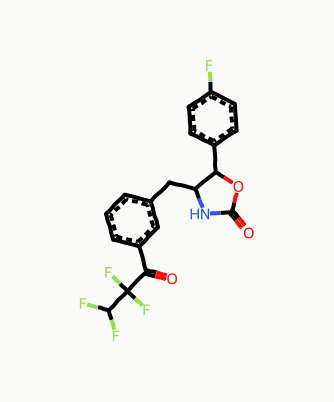 O=C1NC(Cc2cccc(C(=O)C(F)(F)C(F)F)c2)C(c2ccc(F)cc2)O1